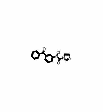 O=C(c1ccccc1)c1cccc(N(Cl)C(=O)n2ccnc2)c1